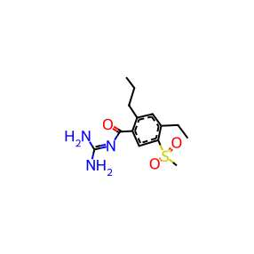 CCCc1cc(CC)c(S(C)(=O)=O)cc1C(=O)N=C(N)N